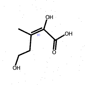 C/C(CCO)=C(\O)C(=O)O